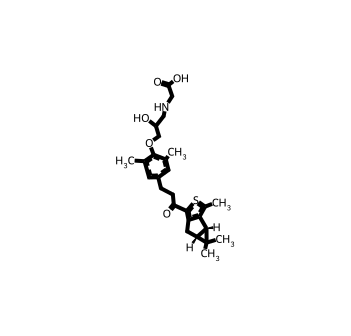 Cc1cc(CCC(=O)c2sc(C)c3c2C[C@@H]2[C@H]3C2(C)C)cc(C)c1OCC(O)CNCC(=O)O